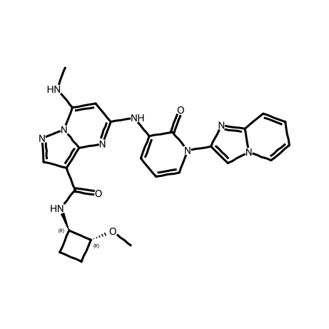 CNc1cc(Nc2cccn(-c3cn4ccccc4n3)c2=O)nc2c(C(=O)N[C@@H]3CC[C@H]3OC)cnn12